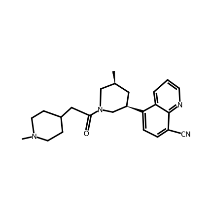 C[C@H]1C[C@@H](c2ccc(C#N)c3ncccc23)CN(C(=O)CC2CCN(C)CC2)C1